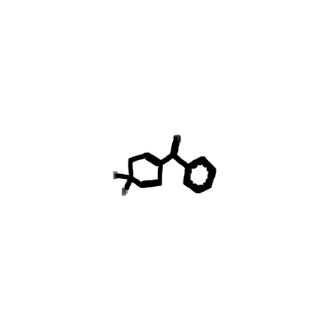 O=C(C1=CCC(F)(I)C=C1)c1ccccc1